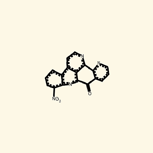 O=C1c2cccnc2-c2nccc3c2c1nc1c([N+](=O)[O-])cccc13